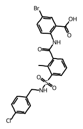 Cc1c(C(=O)Nc2ccc(Br)cc2C(=O)O)cccc1S(=O)(=O)NCc1ccc(Cl)cc1